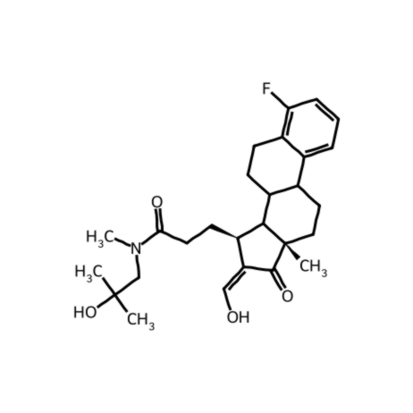 CN(CC(C)(C)O)C(=O)CC[C@@H]1/C(=C/O)C(=O)[C@@]2(C)CCC3c4cccc(F)c4CCC3C12